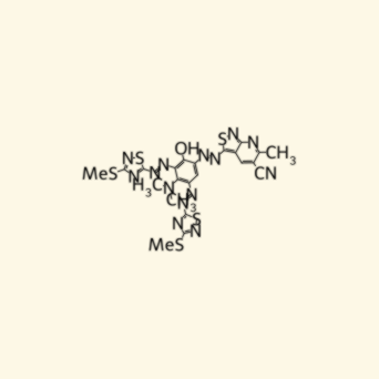 CSc1nsc(/N=N/c2cc(/N=N/c3snc4nc(C)c(C#N)cc34)c(O)c(/N=N/c3nc(SC)ns3)c2N(C)C)n1